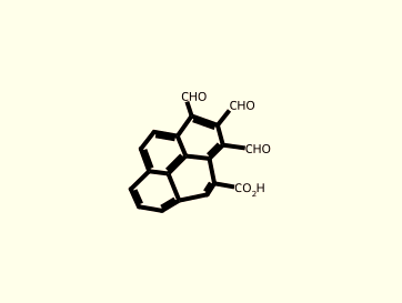 O=Cc1c(C=O)c2ccc3cccc4cc(C(=O)O)c(c1C=O)c2c34